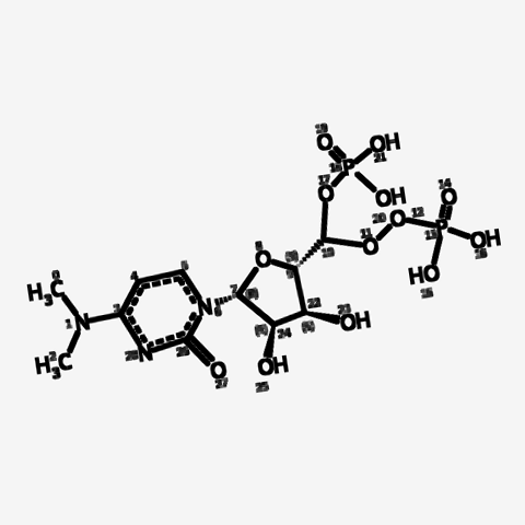 CN(C)c1ccn([C@@H]2O[C@H](C(OOP(=O)(O)O)OP(=O)(O)O)[C@@H](O)[C@H]2O)c(=O)n1